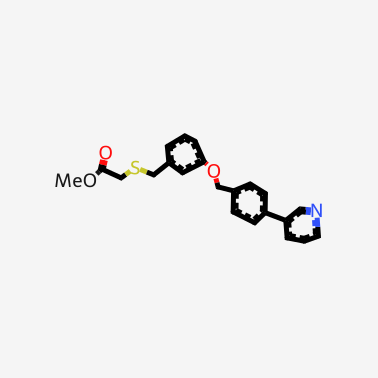 COC(=O)CSCc1cccc(OCc2ccc(-c3cccnc3)cc2)c1